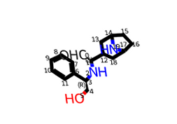 O=C[C@@H](N[C@@H](CO)c1ccccc1)C1CC2CCC(C1)N2